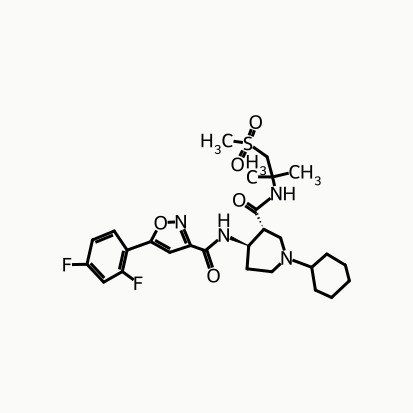 CC(C)(CS(C)(=O)=O)NC(=O)[C@@H]1CN(C2CCCCC2)CC[C@H]1NC(=O)c1cc(-c2ccc(F)cc2F)on1